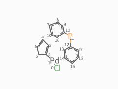 [Cl][Pd][C]1=CC=CC1.c1ccc([P]c2ccccc2)cc1